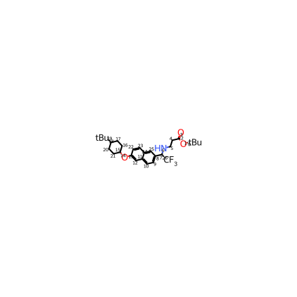 CC(C)(C)OC(=O)CCNC(c1ccc2cc(OC3CCC(C(C)(C)C)CC3)ccc2c1)C(F)(F)F